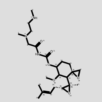 CNCCN(C)CC(=O)NC(=O)OC1CC[C@]2(CO2)C([C@@]2(C)O[C@@H]2CC=C(C)C)C1OC